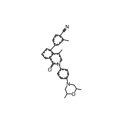 Cc1cc(-c2cccc3c(=O)n(-c4ccc(N5CC(C)OC(C)C5)cc4)cc(C)c23)ccc1C#N